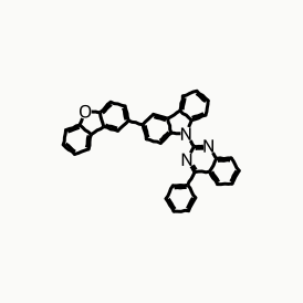 c1ccc(-c2nc(-n3c4ccccc4c4cc(-c5ccc6oc7ccccc7c6c5)ccc43)nc3ccccc23)cc1